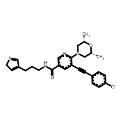 C[C@@H]1CN(c2ncc(C(=O)NCCCC3=CCN=C3)cc2C#Cc2ccc(Cl)cc2)C[C@H](C)O1